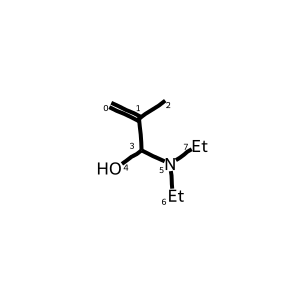 C=C(C)C(O)N(CC)CC